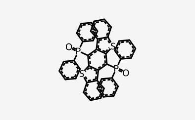 O=P(c1ccccc1)(c1ccccc1)c1c2sc3ccccc3c2c(P(=O)(c2ccccc2)c2ccccc2)c2sc3ccccc3c12